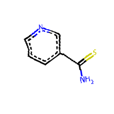 NC(=S)c1cccnc1